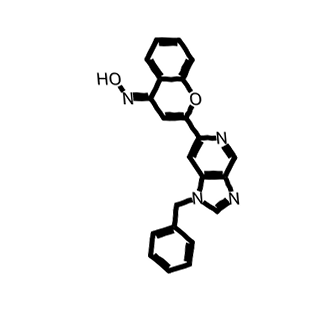 O/N=c1/cc(-c2cc3c(cn2)ncn3Cc2ccccc2)oc2ccccc12